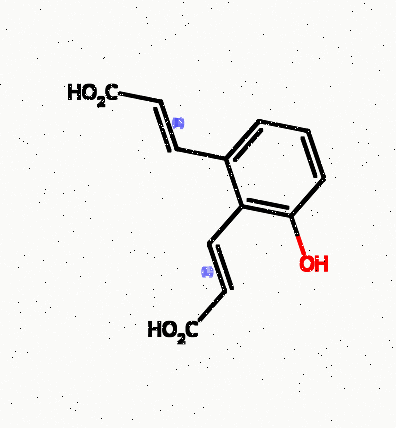 O=C(O)/C=C/c1cccc(O)c1/C=C/C(=O)O